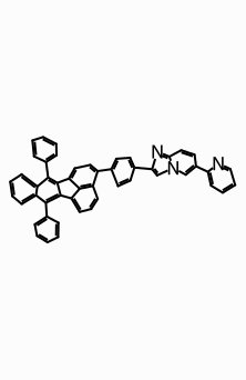 c1ccc(-c2c3c(c(-c4ccccc4)c4ccccc24)-c2ccc(-c4ccc(-c5cn6cc(-c7ccccn7)ccc6n5)cc4)c4cccc-3c24)cc1